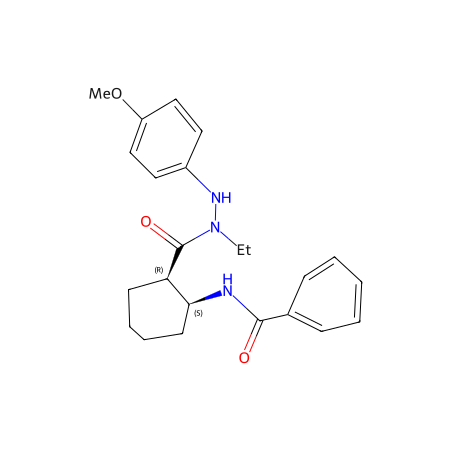 CCN(Nc1ccc(OC)cc1)C(=O)[C@@H]1CCCC[C@@H]1NC(=O)c1ccccc1